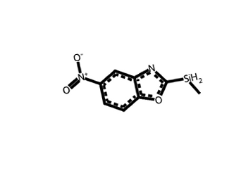 C[SiH2]c1nc2cc([N+](=O)[O-])ccc2o1